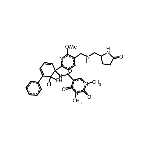 COc1nc(C2(NC(=O)c3cn(C)c(=O)n(C)c3=O)C=CC=C(c3ccccc3)C2(F)Cl)ccc1CNCC1CCC(=O)N1